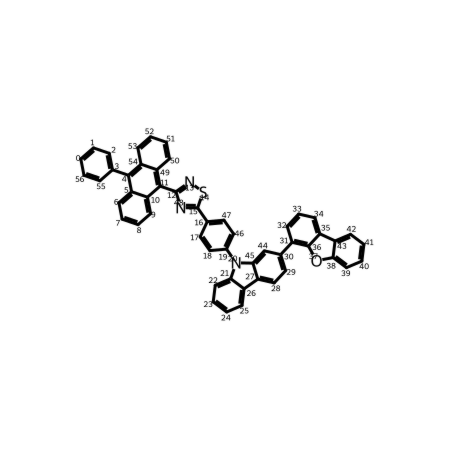 c1ccc(-c2c3ccccc3c(-c3nsc(-c4ccc(-n5c6ccccc6c6ccc(-c7cccc8c7oc7ccccc78)cc65)cc4)n3)c3ccccc23)cc1